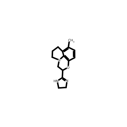 Cc1ccc2c3c1CCCN3CC(C1=NCCN1)O2